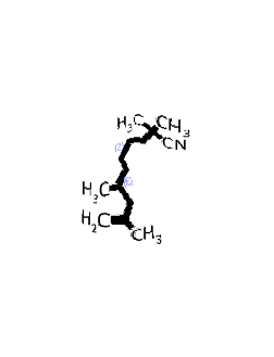 C=C(C)C/C(C)=C/C=C\CC(C)(C)C#N